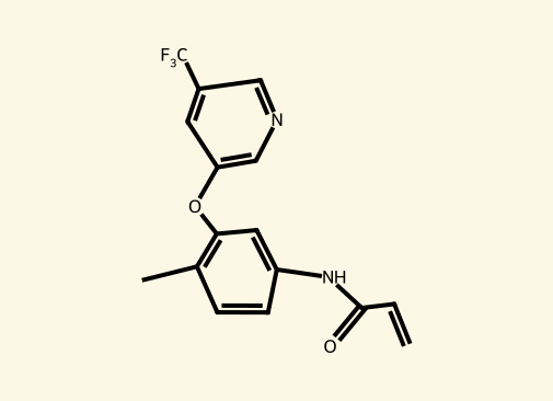 C=CC(=O)Nc1ccc(C)c(Oc2cncc(C(F)(F)F)c2)c1